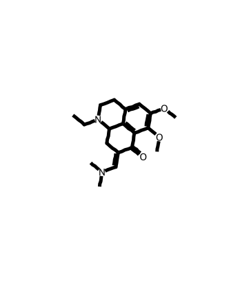 CCN1CCc2cc(OC)c(OC)c3c2C1CC(=CN(C)C)C3=O